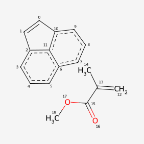 C1=Cc2cccc3cccc1c23.C=C(C)C(=O)OC